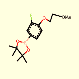 COCCOc1ccc(B2OC(C)(C)C(C)(C)O2)cc1F